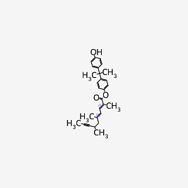 CC#CC(C)C/C(C)=C/C=C(\C)C(=O)Oc1ccc(C(C)(C)c2ccc(O)cc2)cc1